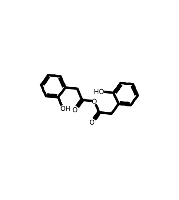 O=C(Cc1ccccc1O)OC(=O)Cc1ccccc1O